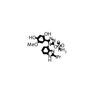 COc1cc(-c2nnc(OS(N)(=O)=O)n2-c2cccc3[nH]c(C(C)C)nc23)c(O)cc1O